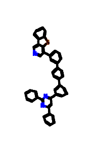 c1ccc(-c2cc(-c3cccc(-c4ccc(-c5cccc(-c6cncc7c6sc6ccccc67)c5)cc4)c3)nc(-c3ccccc3)n2)cc1